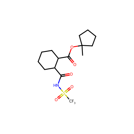 CC1(OC(=O)C2CCCCC2C(=O)NS(=O)(=O)C(F)(F)F)CCCC1